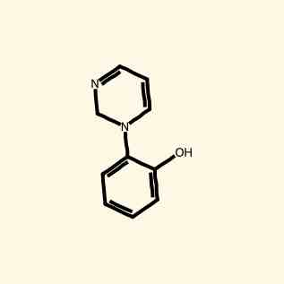 Oc1ccccc1N1C=CC=NC1